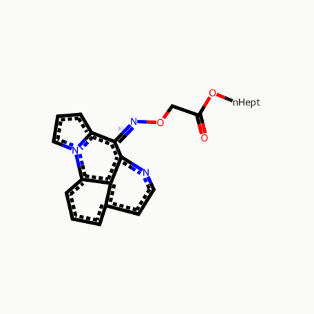 CCCCCCCOC(=O)CO/N=c1\c2nccc3cccc(c32)n2cccc12